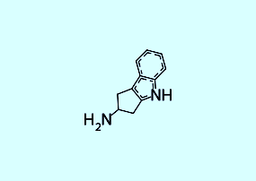 NC1Cc2[nH]c3ccccc3c2C1